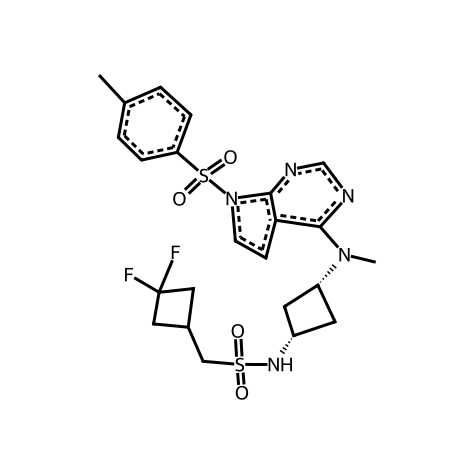 Cc1ccc(S(=O)(=O)n2ccc3c(N(C)[C@H]4C[C@@H](NS(=O)(=O)CC5CC(F)(F)C5)C4)ncnc32)cc1